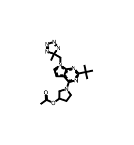 CC(=O)OC1CCN(c2nc(C(C)(C)C)nc3c2ccn3CC2(C)N=NN=N2)C1